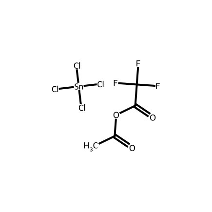 CC(=O)OC(=O)C(F)(F)F.[Cl][Sn]([Cl])([Cl])[Cl]